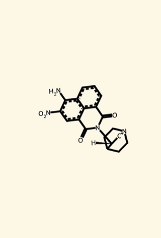 Nc1c([N+](=O)[O-])cc2c3c(cccc13)C(=O)N([C@@H]1CN3CCC1CC3)C2=O